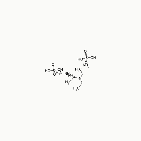 CCN(CC)CC.N.N.N.N.O=S(=O)(O)O.O=S(=O)(O)O